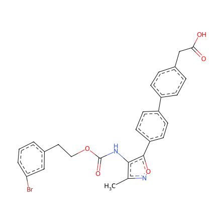 Cc1noc(-c2ccc(-c3ccc(CC(=O)O)cc3)cc2)c1NC(=O)OCCc1cccc(Br)c1